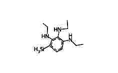 CCNc1ccc([SiH3])c(NCC)c1NCC